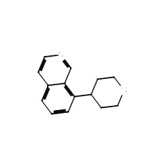 c1cc(C2CCNCC2)c2cnccc2c1